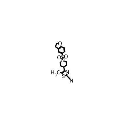 Cc1sc(C#N)nc1C1CCN(S(=O)(=O)c2ccc3c(c2)CCO3)CC1